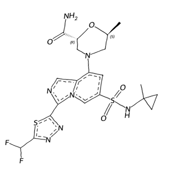 C[C@H]1CN(c2cc(S(=O)(=O)NC3(C)CC3)cn3c(-c4nnc(C(F)F)s4)ncc23)C[C@H](C(N)=O)O1